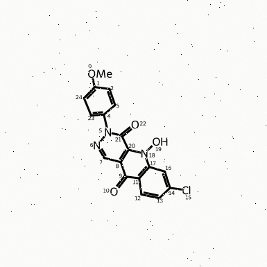 COc1ccc(-n2ncc3c(=O)c4ccc(Cl)cc4n(O)c3c2=O)cc1